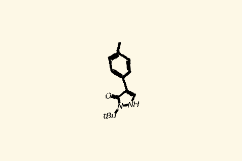 Cc1ccc(-c2c[nH]n(C(C)(C)C)c2=O)cc1